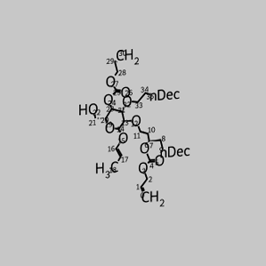 C=CCOC(=O)O[C@H](CCCCCCCCCCC)CCO[C@H]1[C@@H](O/C=C/C)O[C@H](CO)[C@@H](OC(=O)OCC=C)[C@@H]1OCCCCCCCCCCCC